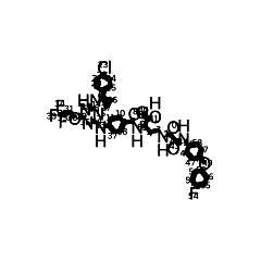 O=C(NCCC(NC(=O)c1ccc(Nc2nc(NC3(c4ccc(Cl)cc4)CC3)nc(OCC(F)(F)F)n2)cc1)C(=O)O)C(=O)Nc1ccc(Oc2ccc(F)cc2)cc1